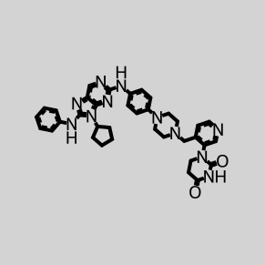 O=C1CCN(c2cnccc2CN2CCN(c3ccc(Nc4ncc5nc(Nc6ccccc6)n(C6CCCC6)c5n4)cc3)CC2)C(=O)N1